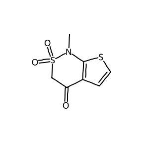 CN1c2sccc2C(=O)CS1(=O)=O